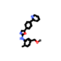 CCOCc1ccc(C)c(Nc2ncc(-c3ccc(-c4ccccn4)cc3)o2)c1